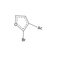 CC(=O)c1ccoc1Br